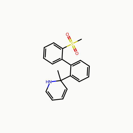 CC1(c2ccccc2-c2ccccc2S(C)(=O)=O)C=CC=CN1